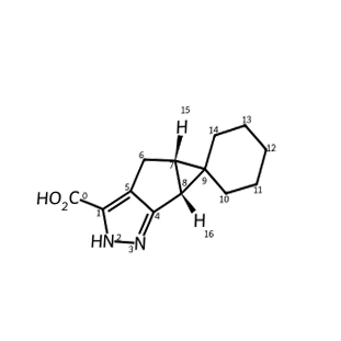 O=C(O)c1[nH]nc2c1C[C@H]1[C@@H]2C12CCCCC2